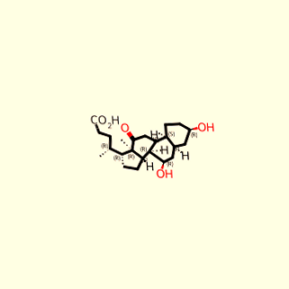 C[C@H](CCC(=O)O)[C@H]1CC[C@H]2[C@@H]3[C@H](O)C[C@@H]4C[C@H](O)CC[C@]4(C)[C@H]3CC(=O)[C@]12C